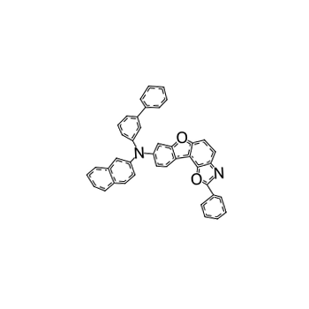 c1ccc(-c2cccc(N(c3ccc4ccccc4c3)c3ccc4c(c3)oc3ccc5nc(-c6ccccc6)oc5c34)c2)cc1